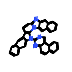 c1ccc2cc3c(cc2c1)nc1ccc2c4cc5ccccc5cc4n(-c4ncc5c(ccc6ccccc65)n4)c2n13